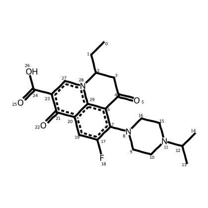 CCC1CC(=O)c2c(N3CCN(C(C)C)CC3)c(F)cc3c(=O)c(C(=O)O)cn1c23